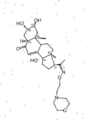 C/C(=N/OCCN1CCOCC1)[C@H]1CC[C@@]2(O)C3=CC(=O)[C@@H]4C[C@@H](O)[C@@H](O)C[C@]4(C)C3CC[C@]12C